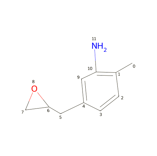 Cc1ccc(CC2CO2)cc1N